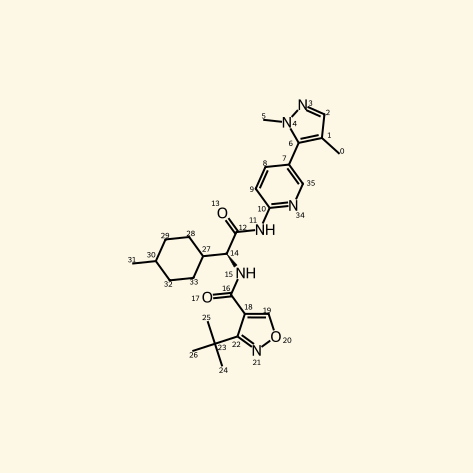 Cc1cnn(C)c1-c1ccc(NC(=O)[C@@H](NC(=O)c2conc2C(C)(C)C)C2CCC(C)CC2)nc1